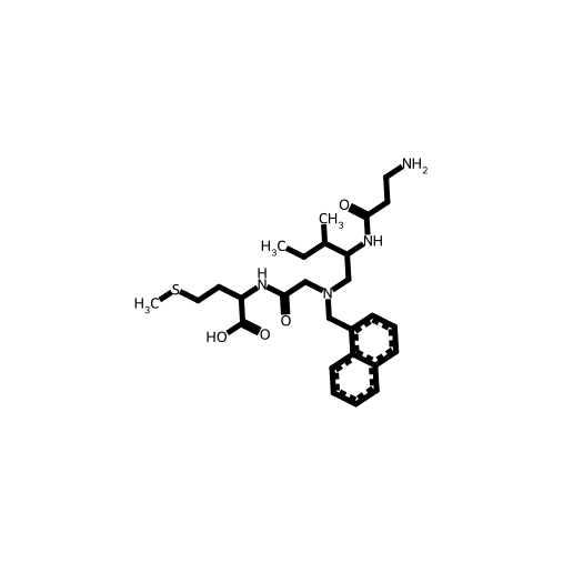 CCC(C)C(CN(CC(=O)NC(CCSC)C(=O)O)Cc1cccc2ccccc12)NC(=O)CCN